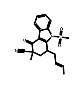 CC=CCC1CC(C)(C#N)C(=O)c2c1n(S(C)(=O)=O)c1ccccc21